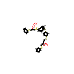 OC(CSc1ccccc1)CSc1ccc(Sc2ccc(SCC(O)CSc3ccccc3)cc2)cc1